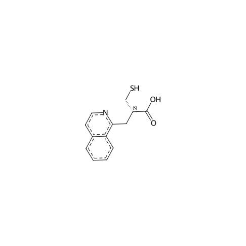 O=C(O)[C@@H](CS)Cc1nccc2ccccc12